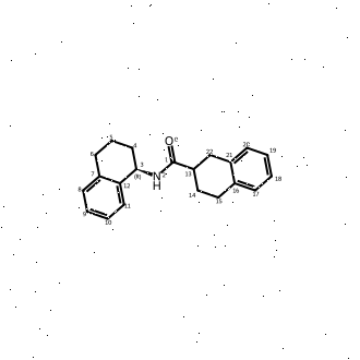 O=C(N[C@@H]1CCCc2ccccc21)C1CCc2ccccc2C1